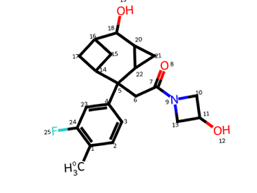 Cc1ccc(C2(CC(=O)N3CC(O)C3)C3CC(C3)C(O)C3CC32)cc1F